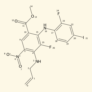 C=CCNc1c([N+](=O)[O-])cc(C(=O)OC)c(Nc2ccc(I)cc2F)c1F